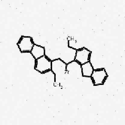 CCc1ccc2c(c1C[CH]([Zr])c1c(CC)ccc3c1Cc1ccccc1-3)Cc1ccccc1-2